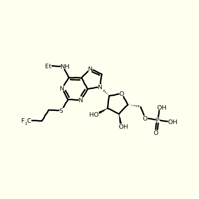 CCNc1nc(SCCC(F)(F)F)nc2c1ncn2[C@@H]1O[C@H](COP(=O)(O)O)[C@@H](O)[C@H]1O